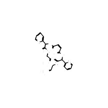 C=CCNC(=S)C(OC(=O)/C=C\C(=O)OC(C(=S)NCC=C)c1ccccn1)c1ccccn1